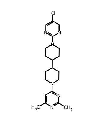 Cc1cc(N2CCC(C3CCN(c4ncc(Cl)cn4)CC3)CC2)nc(C)n1